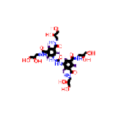 O=C(Nc1c(I)c(C(=O)NCC(O)CO)c(I)c(C(=O)NCC(O)CO)c1I)Nc1c(I)c(C(=O)NCC(O)CO)c(I)c(C(=O)NCC(O)CO)c1I